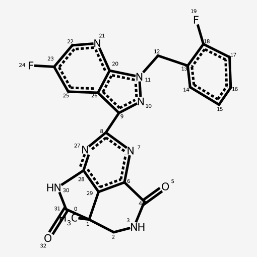 CC12CNC(=O)c3nc(-c4nn(Cc5ccccc5F)c5ncc(F)cc45)nc(c31)NC2=O